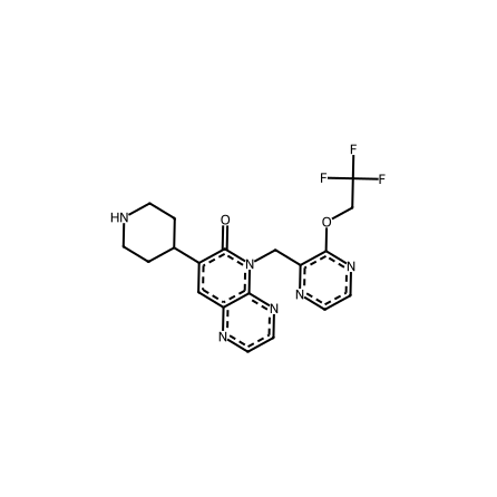 O=c1c(C2CCNCC2)cc2nccnc2n1Cc1nccnc1OCC(F)(F)F